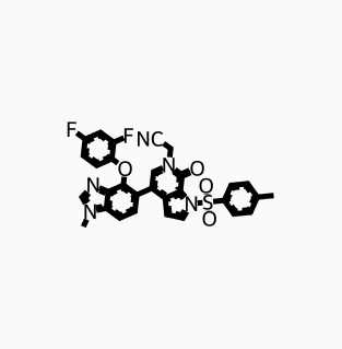 Cc1ccc(S(=O)(=O)n2ccc3c(-c4ccc5c(ncn5C)c4Oc4ccc(F)cc4F)cn(CC#N)c(=O)c32)cc1